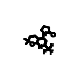 CC1(C)C=Cc2c(N3CCCC3=O)cc(C(F)(F)F)nc2O1